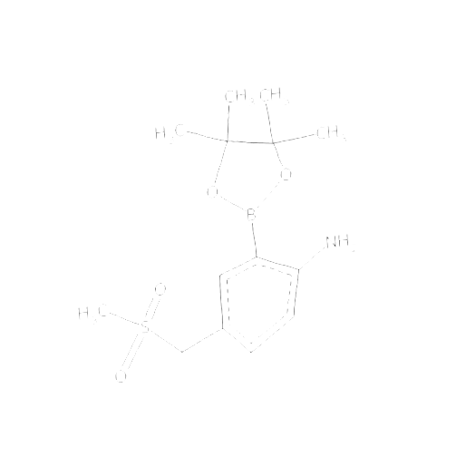 CC1(C)OB(c2cc(CS(C)(=O)=O)ccc2N)OC1(C)C